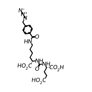 [N-]=[N+]=NCc1ccc(C(=O)NCCCC[C@H](NC(=O)N[C@@H](CCC(=O)O)C(=O)O)C(=O)O)cc1